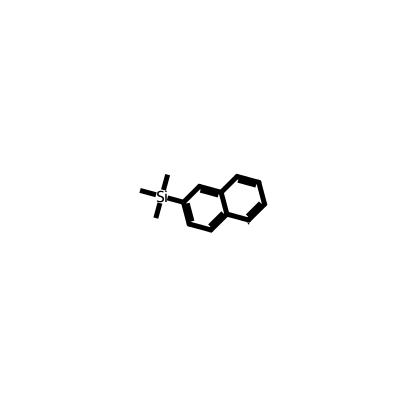 C[Si](C)(C)c1ccc2[c]cccc2c1